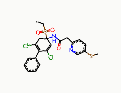 CCS(=O)(=O)C1(NC(=O)Cc2ccc(SC)cn2)C=C(Cl)C(c2ccccc2)=C(Cl)C1